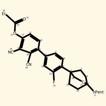 CCCCCC12CCC(c3ccc(-c4ccc(OC(=O)CC)c(C#N)c4C#N)cc3F)(CC1)CC2